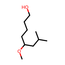 CO[C](CCCCO)CC(C)C